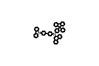 c1ccc(C2(c3ccc(N(c4ccc(-c5ccc(-n6c7ccccc7c7ccccc76)cc5)cc4)c4cc5ccccc5c5ccccc45)cc3)c3ccccc3-c3ccccc32)cc1